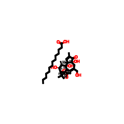 CC(=O)O[C@@]12[C@H](O)[C@@H](C)[C@@]3(O)[C@@H](C=C(CO)C[C@]4(O)C(=O)C(C)=C[C@@H]34)[C@@H]1C2(C)C.CCCCCCCCCCCCCC(=O)O